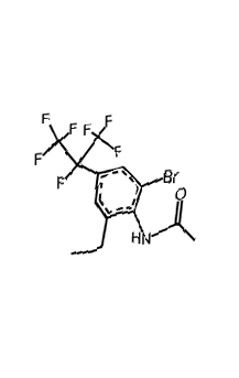 CCc1cc(C(F)(C(F)(F)F)C(F)(F)F)cc(Br)c1NC(C)=O